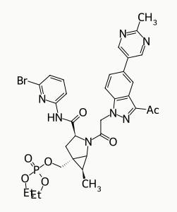 CCOP(=O)(OCC)OC[C@]12C[C@@H](C(=O)Nc3cccc(Br)n3)N(C(=O)Cn3nc(C(C)=O)c4cc(-c5cnc(C)nc5)ccc43)C1[C@H]2C